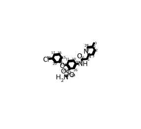 Cc1ccc(CC(=O)Nc2ccc(Oc3cccc(Cl)c3)c(S(N)(=O)=O)c2)nc1